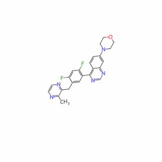 Cc1nccnc1Cc1cc(-c2ncnc3cc(N4CCOCC4)ccc23)c(F)cc1F